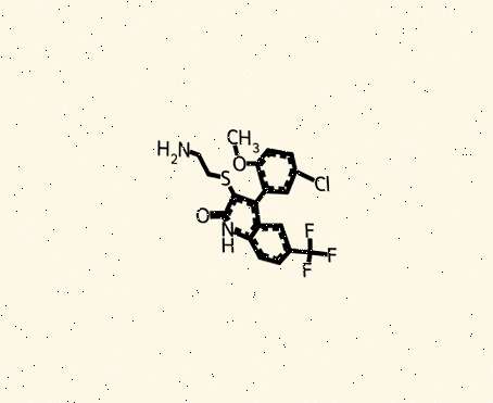 COc1ccc(Cl)cc1-c1c(SCCN)c(=O)[nH]c2ccc(C(F)(F)F)cc12